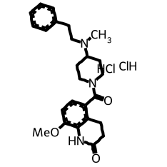 COc1ccc(C(=O)N2CCC(N(C)CCc3ccccc3)CC2)c2c1NC(=O)CC2.Cl.Cl